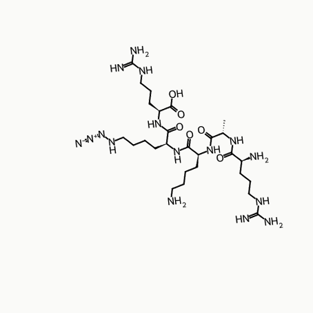 C[C@H](NC(=O)[C@@H](N)CCCNC(=N)N)C(=O)N[C@@H](CCCCN)C(=O)N[C@@H](CCCCNN=[N+]=[N-])C(=O)N[C@@H](CCCNC(=N)N)C(=O)O